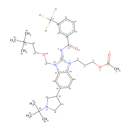 CC(=O)OCCCn1c(=NC(=O)c2cccc(C(F)(F)F)c2)n(COCC[Si](C)(C)C)c2cc(C3CCN(C(C)(C)C)C3)ccc21